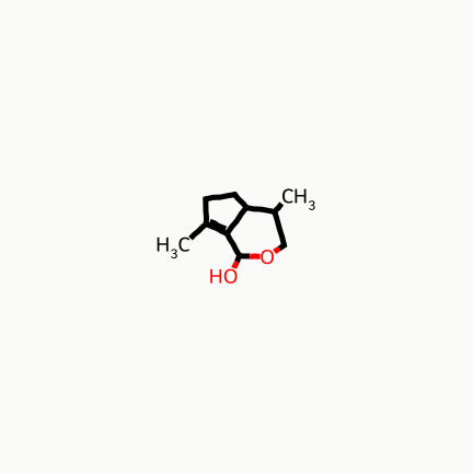 CC1=C2C(O)OCC(C)C2CC1